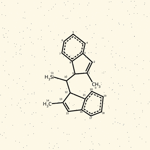 CC1=Cc2ccccc2C1C([SiH3])C1C(C)=Cc2ccccc21